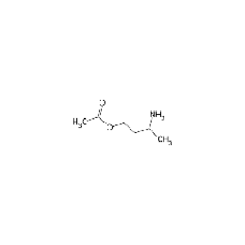 CC(=O)OCCC(C)N